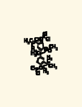 COC(=O)CC(C)(c1ccc(OP(Cl)Cl)c(C(C)(C)C)c1)c1ccc(OP(Cl)Cl)c(C(C)(C)C)c1